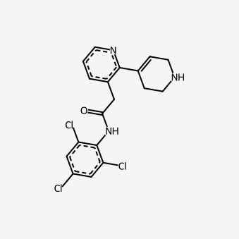 O=C(Cc1cccnc1C1=CCNCC1)Nc1c(Cl)cc(Cl)cc1Cl